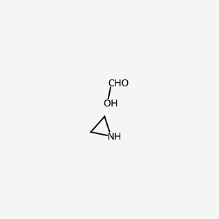 C1CN1.O=CO